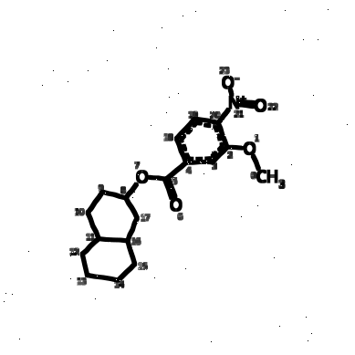 COc1cc(C(=O)OC2CCC3CCCCC3C2)ccc1[N+](=O)[O-]